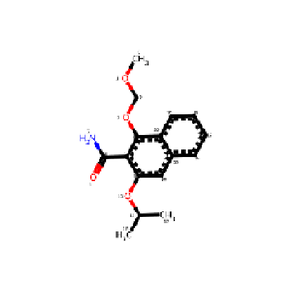 COCOc1c(C(N)=O)c(OC(C)C)cc2ccccc12